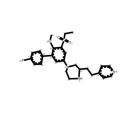 CCS(=O)(=O)c1cc(N2CCNC(CCc3ccncc3)C2)cc(-c2ccc(F)cc2)c1OC